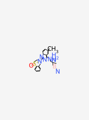 Cc1ccc2nc(N3CC[S+]([O-])c4ccccc4C3)nc(NCC3(N)CB(C#N)C3)c2c1